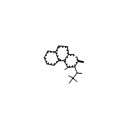 O=c1oc2ccc3ccccc3c2c(O)c1C(O)C(F)(F)F